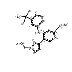 COCn1ncc(-c2cnc(NC(C)=O)cc2Nc2ccnc(C(C)(F)F)n2)n1